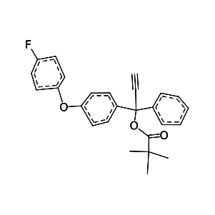 C#CC(OC(=O)C(C)(C)C)(c1ccccc1)c1ccc(Oc2ccc(F)cc2)cc1